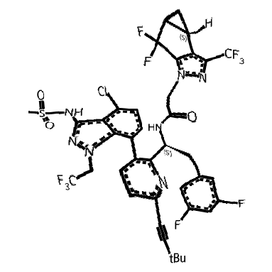 CC(C)(C)C#Cc1ccc(-c2ccc(Cl)c3c(NS(C)(=O)=O)nn(CC(F)(F)F)c23)c([C@H](Cc2cc(F)cc(F)c2)NC(=O)Cn2nc(C(F)(F)F)c3c2C(F)(F)C2C[C@H]32)n1